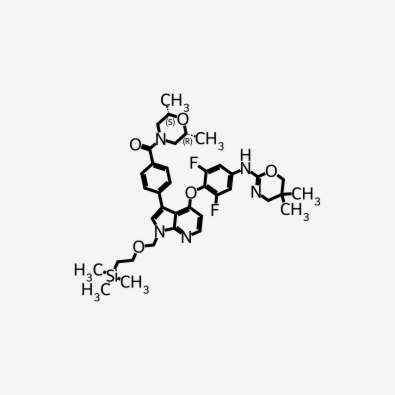 C[C@@H]1CN(C(=O)c2ccc(-c3cn(COCC[Si](C)(C)C)c4nccc(Oc5c(F)cc(NC6=NCC(C)(C)CO6)cc5F)c34)cc2)C[C@H](C)O1